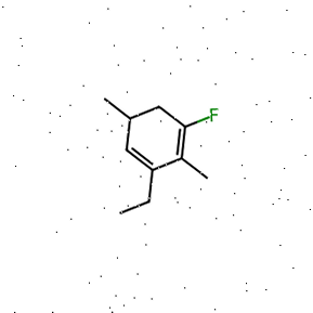 CCC1=CC(C)CC(F)=C1C